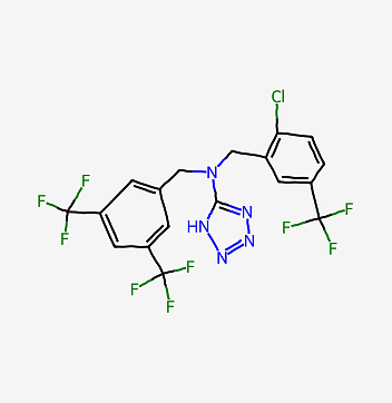 FC(F)(F)c1cc(CN(Cc2cc(C(F)(F)F)ccc2Cl)c2nnn[nH]2)cc(C(F)(F)F)c1